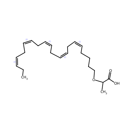 CC/C=C\C/C=C\C/C=C\C/C=C\C/C=C\CCCCOC(C)C(=O)O